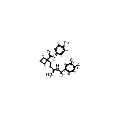 C=C(CCC1(C(=O)Nc2ccc(F)cc2)CCC1)NC(=O)c1ccc(Cl)c(Cl)c1